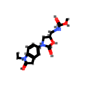 CCN1C(=O)Cc2cc(N3C[C@H](CNC(=O)OC)OC3=O)ccc21